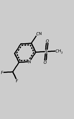 CS(=O)(=O)c1nc(C(F)F)ccc1C#N